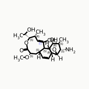 CO[C@H]1C[C@H]2C=C[C@H]3[C@H]4O[C@]2(/C(C)=C/[C@@H](C)[C@@H](C(C)O)OC1=O)[C@@H]3[C@H](O)[C@@H](C)[C@@H]4N